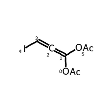 CC(=O)OC(=C=CI)OC(C)=O